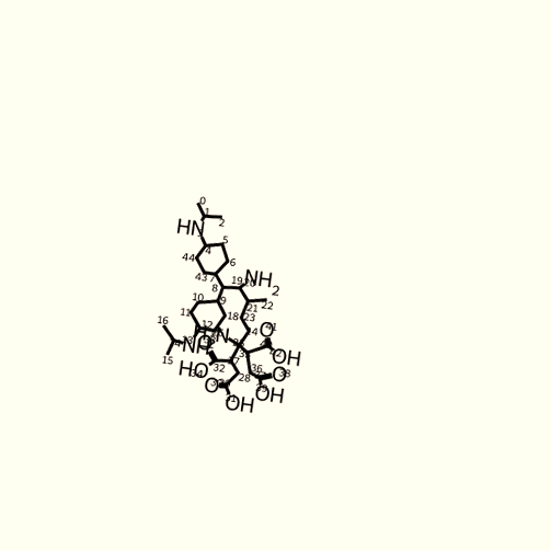 CC(C)NC1CCC(C(C2CCC(NC(C)C)CC2)C(N)C(C)CCC(N)(C(CC(=O)O)C(=O)O)C(CC(=O)O)C(=O)O)CC1